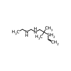 C=C[SiH2]C(C)(C)CNCNCC